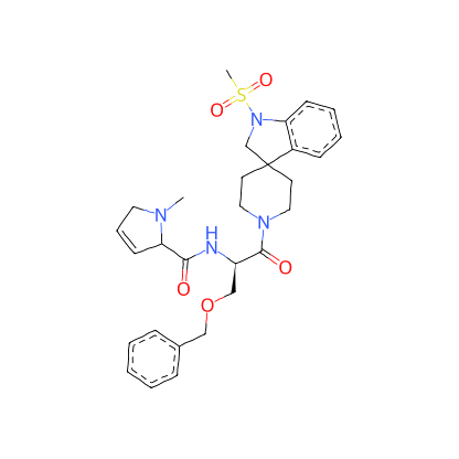 CN1CC=CC1C(=O)N[C@H](COCc1ccccc1)C(=O)N1CCC2(CC1)CN(S(C)(=O)=O)c1ccccc12